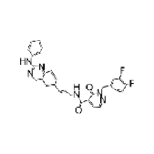 O=C(NC/C=C/c1ccc2nc(Nc3ccccc3)ncc2c1)c1ccnn(Cc2ccc(F)c(F)c2)c1=O